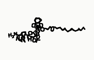 CCCCCCCCCCCCOCCCOP(=O)(OC[C@H]1O[C@@](C)(c2ccc3c(N)ncnn23)[C@@H]2OC(C)(C)O[C@@H]21)Oc1ccccc1Cl